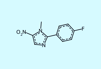 Cn1c([N+](=O)[O-])cnc1-c1ccc(F)cc1